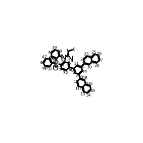 CCc1nc2c(-c3cc(-c4ccc5ccccc5c4)cc(-c4ccc5ccccc5c4)c3)ccc3c2n1-c1ccccc1P3(=O)c1ccccc1